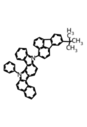 CC(C)(C)c1ccc2c(c1)-c1ccc(-n3c4ccccc4c4c3ccc3c5c6ccccc6ccc5n(-c5ccccc5)c34)c3cccc-2c13